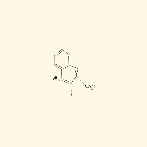 O=C(O)c1cc2ccccc2cc1I.[AlH3]